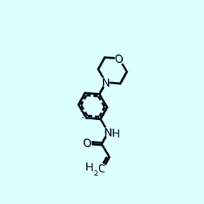 C=CC(=O)Nc1[c]ccc(N2CCOCC2)c1